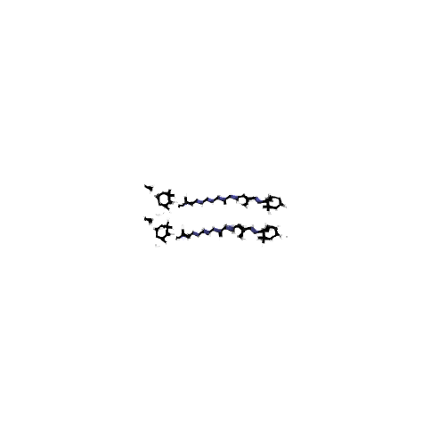 CC(=O)OC1CC(C)(C)C(=C=C/C(C)=C/C=C/C=C/C=C(C)/C=C2C=C(/C=C/C34OC3(C)CC(O)CC4(C)C)C(=O)O/2)C(C)(O)C1.CC(=O)OC1CC(C)(C)C(=C=C/C(C)=C/C=C/C=C/C=C(C)/C=C2C=C(/C=C/C34OC3(C)CC(O)CC4(C)C)C(=O)O/2)C(C)(O)C1